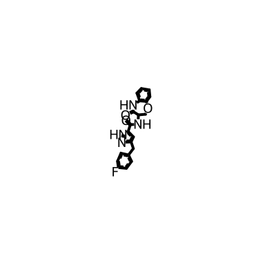 O=C(NC1COc2ccccc2NC1=O)c1cc(Cc2ccc(F)cc2)n[nH]1